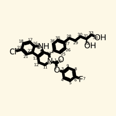 O=C(Oc1ccc(F)cc1)N1CCC2=C(NC3C=CC(Cl)=CC23)[C@@H]1c1ccc(CCC[C@H](O)CO)cc1